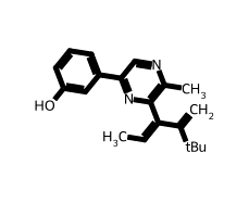 C=C(/C(=C/C)c1nc(-c2cccc(O)c2)cnc1C)C(C)(C)C